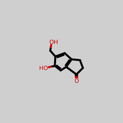 O=C1CCc2cc(CO)c(O)cc21